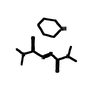 C1CCNCC1.CN(C)C(=O)N=NC(=O)N(C)C